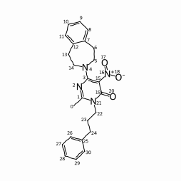 Cc1nc(N2CCc3ccccc3CC2)c([N+](=O)[O-])c(=O)n1CCCc1ccccc1